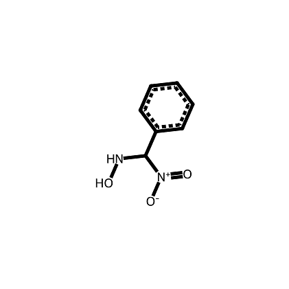 O=[N+]([O-])C(NO)c1ccccc1